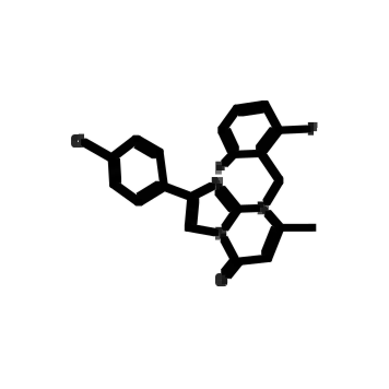 Cc1cc(=O)n2cc(-c3ccc(Cl)cc3)nc2n1Cc1c(F)cccc1F